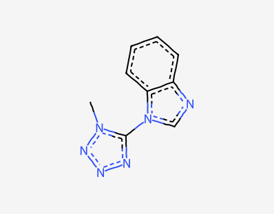 Cn1nnnc1-n1cnc2ccccc21